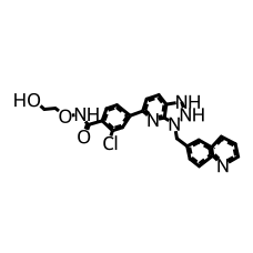 O=C(NOCCO)c1ccc(-c2ccc3c(n2)N(Cc2ccc4ncccc4c2)NN3)cc1Cl